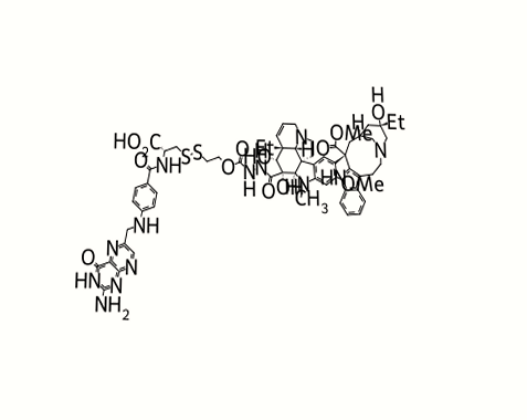 CC[C@]1(O)C[C@H]2CN(CCc3c([nH]c4ccccc34)[C@@](C(=O)OC)(c3cc4c(cc3OC)N(C)[C@H]3[C@@](O)(C(=O)NNC(=O)OCCSSC[C@H](NC(=O)c5ccc(NCc6cnc7nc(N)[nH]c(=O)c7n6)cc5)C(=O)O)[C@H](O)[C@]5(CC)C=CCN6CC[C@]43[C@@H]65)C2)C1